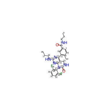 CCCNC(=O)c1ccc(C)c(-c2nc(NCCC)nc3c2CNC(=O)N3c2c(F)cccc2F)c1